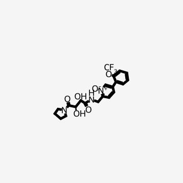 O=C(NCc1ccc(-c2ccccc2OC(F)(F)F)c[n+]1[O-])[C@H](O)[C@@H](O)C(=O)N1CCCC1